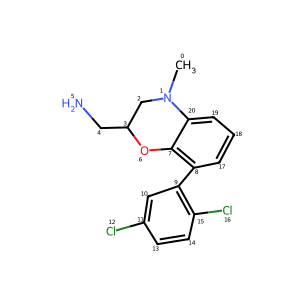 CN1CC(CN)Oc2c(-c3cc(Cl)ccc3Cl)cccc21